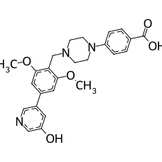 COc1cc(-c2cncc(O)c2)cc(OC)c1CN1CCN(c2ccc(C(=O)O)cc2)CC1